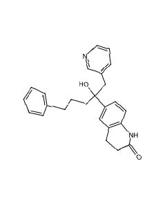 O=C1CCc2cc(C(O)(CCCc3ccccc3)Cc3cccnc3)ccc2N1